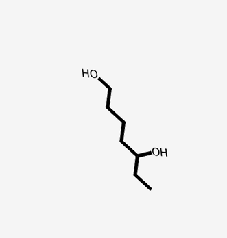 CCC(O)CCCCO